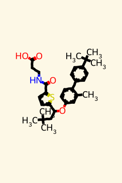 Cc1cc(OC(CC(C)(C)C)c2ccc(C(=O)NCCC(=O)O)s2)ccc1-c1ccc(C(C)(C)C)cc1